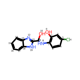 Oc1cc(Cl)ccc1NC(O)c1nc2ccccc2[nH]1